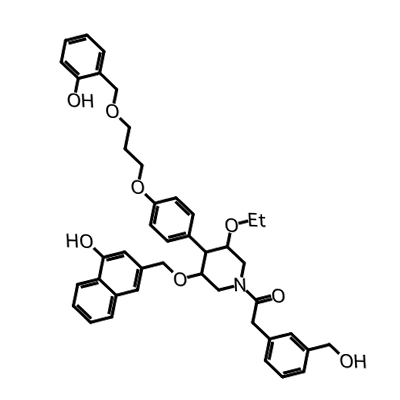 CCOC1CN(C(=O)Cc2cccc(CO)c2)CC(OCc2cc(O)c3ccccc3c2)C1c1ccc(OCCCOCc2ccccc2O)cc1